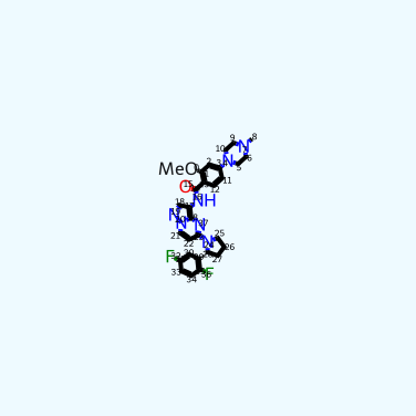 COc1cc(N2CCN(C)CC2)ccc1C(=O)Nc1cnn2ccc(N3CCC[C@@H]3c3cc(F)ccc3F)nc12